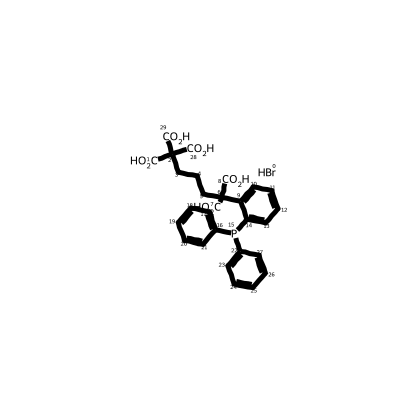 Br.O=C(O)C(CCCC(C(=O)O)(C(=O)O)c1ccccc1P(c1ccccc1)c1ccccc1)(C(=O)O)C(=O)O